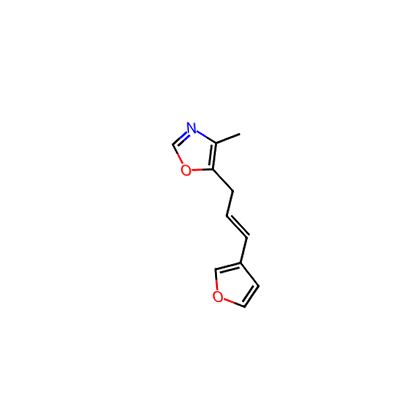 Cc1ncoc1CC=Cc1ccoc1